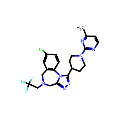 Cc1ccnc(N2CCC(c3nnc4n3-c3ccc(Cl)cc3CN(CC(F)(F)F)C4)CC2)n1